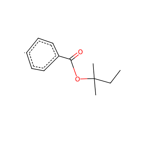 CCC(C)(C)OC(=O)c1cc[c]cc1